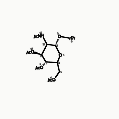 CCCO[C@@H]1OC(COC(C)=O)[C@H](OC(C)=O)[C@@H](OC(C)=O)C1NC(C)=O